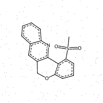 CS(=O)(=O)c1cccc2c1-c1nc3ccccc3cc1CO2